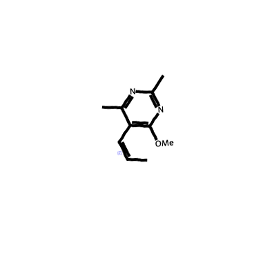 C/C=C\c1c(C)nc(C)nc1OC